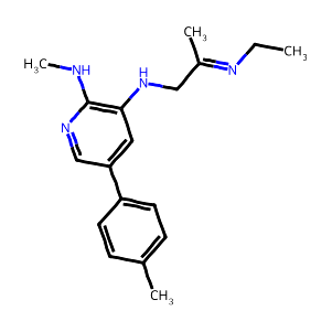 CC/N=C(\C)CNc1cc(-c2ccc(C)cc2)cnc1NC